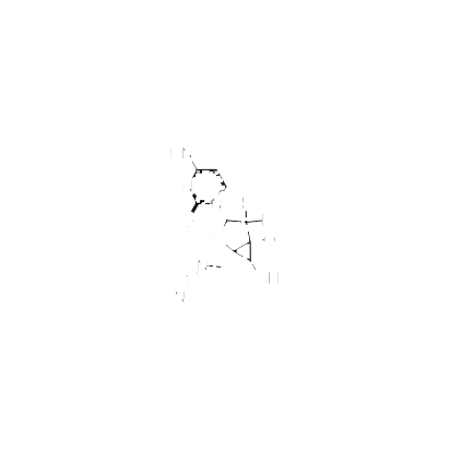 [N-]=[N+]=NC[C@]12O[C@@H](n3ccc(N)nc3=O)C(F)(F)[C@@]1(O)C2O